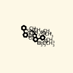 CCC(C)C1=Cc2c(ccc(C)c2-c2cc([Si](C)(C)C)cc([Si](C)(C)C)c2)[CH]1[Zr]([Cl])([Cl])[c]1cccc2c1[SiH2]c1ccccc1-2